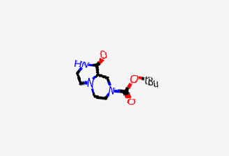 CC(C)(C)OC(=O)N1CCN2CCNC(=O)C2C1